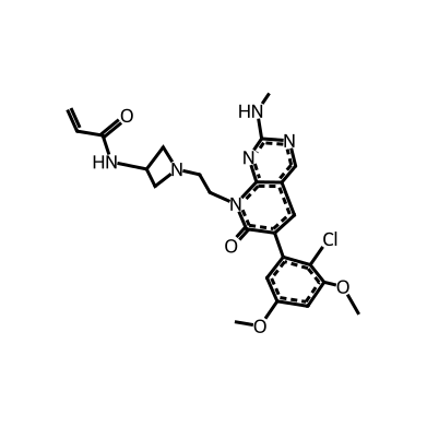 C=CC(=O)NC1CN(CCn2c(=O)c(-c3cc(OC)cc(OC)c3Cl)cc3cnc(NC)nc32)C1